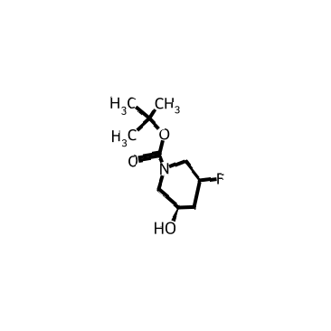 CC(C)(C)OC(=O)N1CC(F)C[C@@H](O)C1